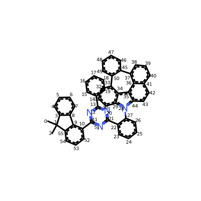 CC1(C)c2ccccc2-c2c(-c3nc(-c4ccccc4)nc(-c4ccccc4-n4c5cccc6c5c5c7c(cccc7ccc54)-c4ccccc4-6)n3)cccc21